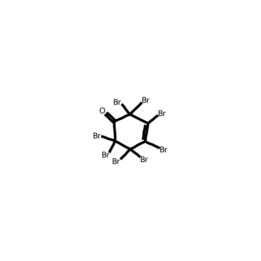 O=C1C(Br)(Br)C(Br)=C(Br)C(Br)(Br)C1(Br)Br